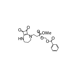 [CH2]OP(=O)(CCN1CCCNc2c1c(=O)c2=O)OCOC(=O)c1ccccc1